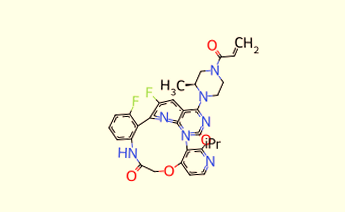 C=CC(=O)N1CCN(c2nc(=O)n3c4nc(c(F)cc24)-c2c(F)cccc2NC(=O)COc2ccnc(C(C)C)c2-3)[C@@H](C)C1